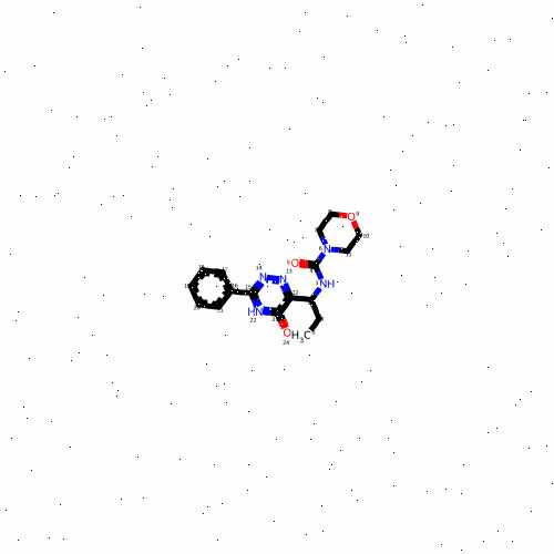 CCC(NC(=O)N1CCOCC1)c1nnc(-c2ccccc2)[nH]c1=O